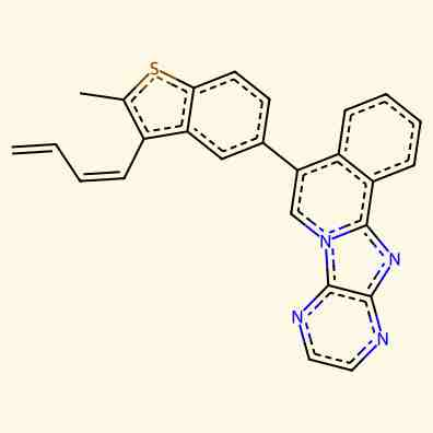 C=C/C=C\c1c(C)sc2ccc(-c3cn4c5nccnc5nc4c4ccccc34)cc12